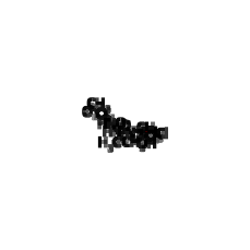 CC(=O)c1ccc(CNC(=O)N[C@@H](C(=O)N2CC[C@](O)(c3ccc(Cl)cc3)C(C)(C)C2)C(C)C)cc1